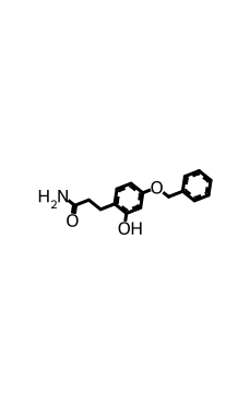 NC(=O)CCc1ccc(OCc2ccccc2)cc1O